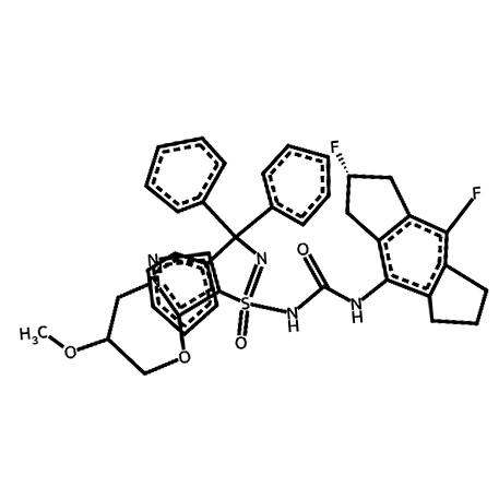 COC1COc2c(S(=O)(=NC(c3ccccc3)(c3ccccc3)c3ccccc3)NC(=O)Nc3c4c(c(F)c5c3C[C@H](F)C5)CCC4)cnn2C1